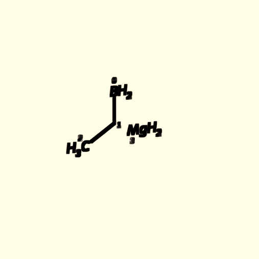 BCC.[MgH2]